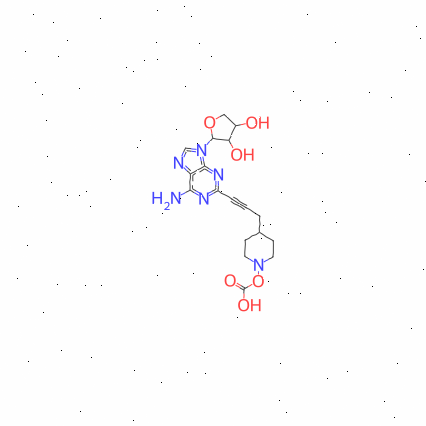 Nc1nc(C#CCC2CCN(OC(=O)O)CC2)nc2c1ncn2C1OCC(O)C1O